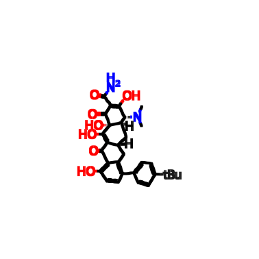 CN(C)[C@H]1C(O)=C(C(N)=O)C(=O)[C@]2(O)C(O)=C3C(=O)c4c(O)ccc(-c5ccc(C(C)(C)C)cc5)c4C[C@H]3C[C@H]12